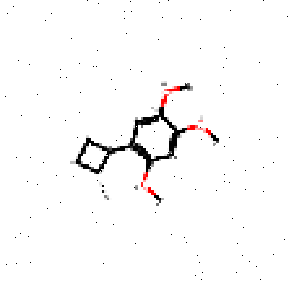 COc1cc(OC)c(C2CC[C@H]2C)cc1OC